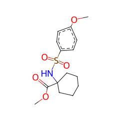 COC(=O)C1(NS(=O)(=O)c2ccc(OC)cc2)CCCCC1